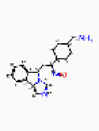 NCC1CCC(C(CC2c3ccccc3-c3cncn32)N=O)CC1